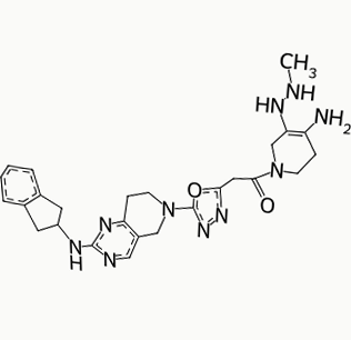 CNNC1=C(N)CCN(C(=O)Cc2nnc(N3CCc4nc(NC5Cc6ccccc6C5)ncc4C3)o2)C1